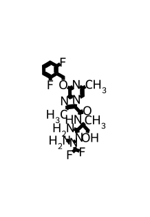 Cc1cn2c(C(=O)NC(C)(CO)/C(N)=N/N(N)C(F)F)c(C)nc2c(OCc2c(F)cccc2F)n1